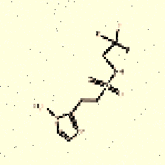 CN1C=C[N+]=C1CCS(=O)(=O)NCC(F)(F)F